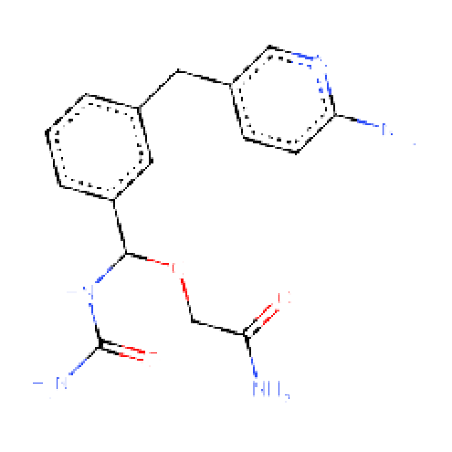 NC(=O)COC(NC(N)=O)c1cccc(Cc2ccc(N)nc2)c1